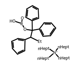 CCC(c1ccccc1)C(OB([O-])O)(c1ccccc1)c1ccccc1.CCCCCCC[N+](CCCCCCC)(CCCCCCC)CCCCCCC